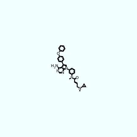 CN(C(=O)/C=C/CN(C)C1CC1)c1cccc(-n2cc(-c3ccc(Oc4ccccc4)cc3)c3c(N)ncnc32)c1